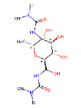 CCN(N=O)C(=O)NC(O)[C@H]1O[C@H](OC)[C@@](O)(NC(=O)N(CC)N=O)[C@@H](O)[C@@H]1O